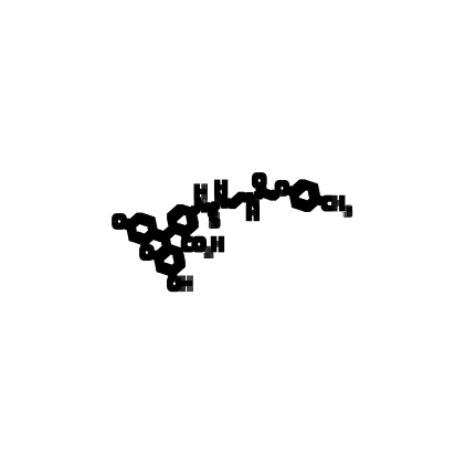 Cc1ccc(OCC(=O)NCCNC(=S)Nc2ccc(-c3c4ccc(=O)cc-4oc4cc(O)ccc34)c(C(=O)O)c2)cc1